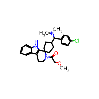 COCC(=O)N1CCc2c([nH]c3ccccc23)C12CCC(C(c1ccc(Cl)cc1)N(C)C)CC2